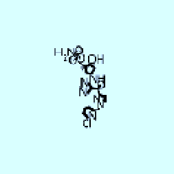 NS(=O)(=O)OC[C@H]1CC(Nc2ncncc2C(=O)c2ccn(Cc3cccc(Cl)n3)n2)C[C@@H]1O